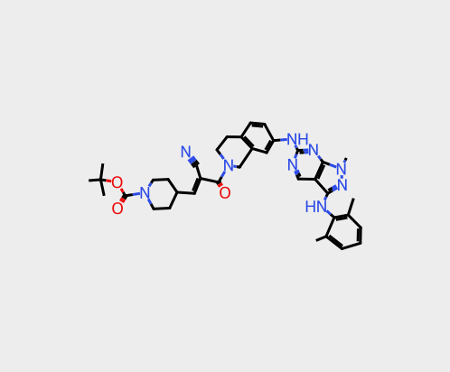 Cc1cccc(C)c1Nc1nn(C)c2nc(Nc3ccc4c(c3)CN(C(=O)/C(C#N)=C/C3CCN(C(=O)OC(C)(C)C)CC3)CC4)ncc12